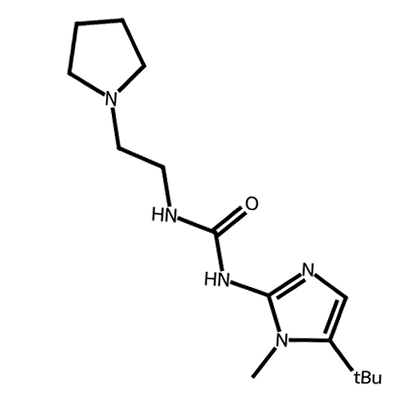 Cn1c(C(C)(C)C)cnc1NC(=O)NCCN1CCCC1